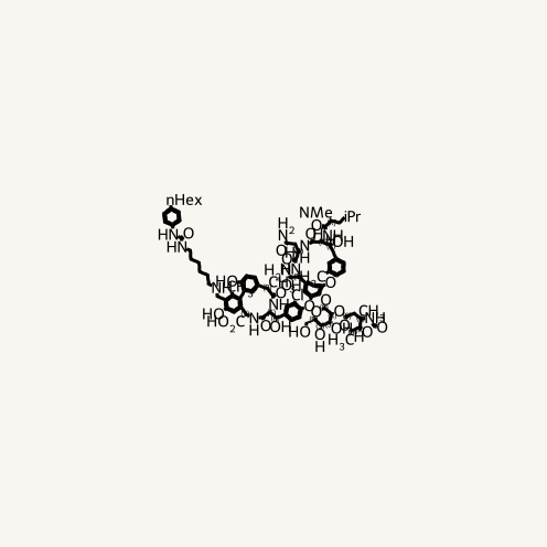 CCCCCCc1ccc(NC(=O)NCCCCCCNCc2c(O)cc3c(c2C)-c2cc(ccc2O)[C@@H](C)C(=O)N[C@@H]([C@H](O)c2ccc(Oc4cc5cc(c4O[C@@H]4O[C@H](CO)[C@@H](O)[C@H](O)[C@H]4O[C@H]4C[C@]6(C)NC(=O)O[C@@H]6[C@H](C)O4)Oc4ccc(cc4C)[C@@H](O)[C@@H](NC(=O)[C@@H](CC(C)C)NC)C(=O)N[C@@H](CC(N)=O)C(=O)N[C@H]5C(N)=O)c(Cl)c2)C(=O)N[C@@H]3C(=O)O)cc1